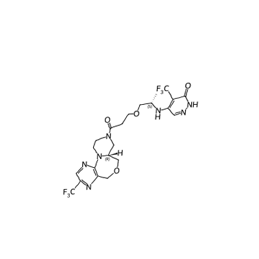 C[C@@H](COCCC(=O)N1CCN2c3ncc(C(F)(F)F)nc3COC[C@H]2C1)Nc1cn[nH]c(=O)c1C(F)(F)F